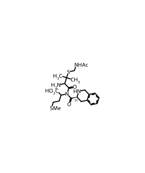 CSCCC(C(=O)O)N(C(=O)C(N)C(C)(C)SCNC(C)=O)C(=O)[C@@H]1Cc2ccccc2CN1